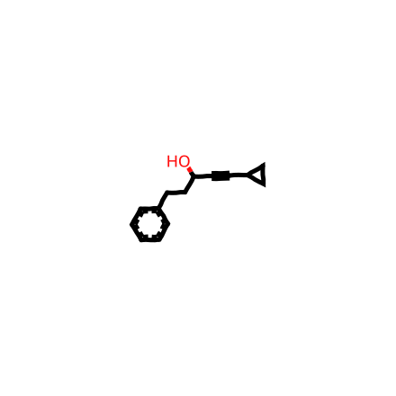 OC(C#CC1CC1)CCc1ccccc1